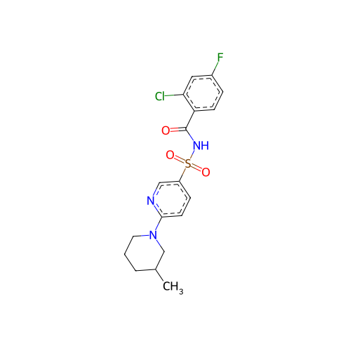 CC1CCCN(c2ccc(S(=O)(=O)NC(=O)c3ccc(F)cc3Cl)cn2)C1